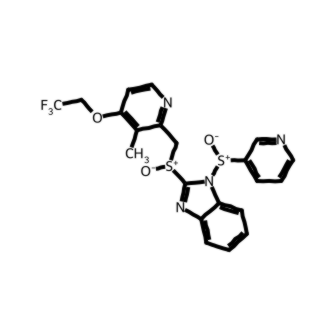 Cc1c(OCC(F)(F)F)ccnc1C[S+]([O-])c1nc2ccccc2n1[S+]([O-])c1cccnc1